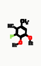 [CH2]c1cc(OCC)c(OCC)c(F)c1C#N